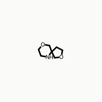 C1COCC2(CCOC2)N1